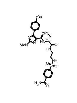 CNc1nc(C(=O)N[C@H](CC(C)C)C(=O)NCCNS(=O)(=O)c2ccc(C(N)=O)cc2)c(-c2ccc(C(C)(C)C)cc2)s1